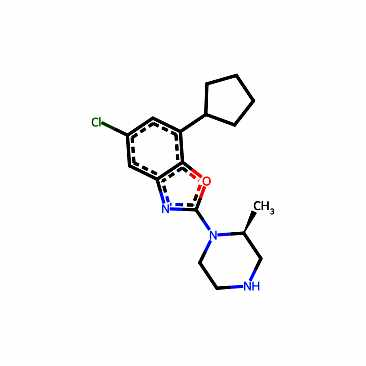 C[C@H]1CNCCN1c1nc2cc(Cl)cc(C3CCCC3)c2o1